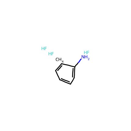 C.F.F.F.Nc1ccccc1